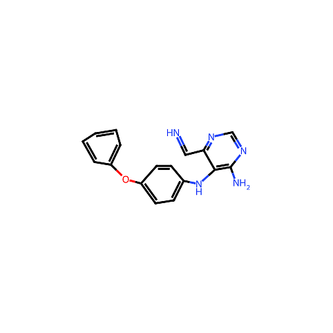 N=Cc1ncnc(N)c1Nc1ccc(Oc2ccccc2)cc1